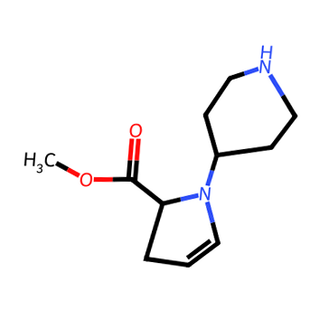 COC(=O)C1CC=CN1C1CCNCC1